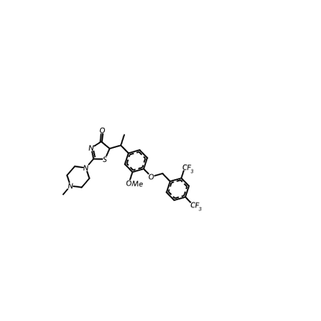 COc1cc(C(C)C2SC(N3CCN(C)CC3)=NC2=O)ccc1OCc1ccc(C(F)(F)F)cc1C(F)(F)F